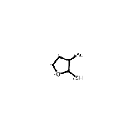 CC(=O)C1CCOC1S